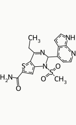 CCC1=NC(c2ccnc3[nH]ccc23)N(S(C)(=O)=O)c2cc(C(N)=O)sc21